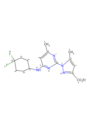 CCOC(=O)c1cc(C)n(-c2nc(C)cc(NC3CCC(F)(F)CC3)n2)n1